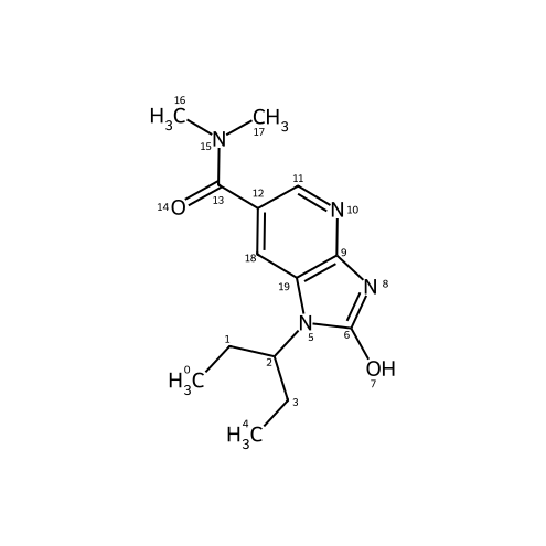 CCC(CC)n1c(O)nc2ncc(C(=O)N(C)C)cc21